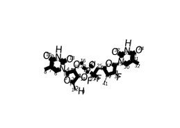 [2H]C[C@H]1O[C@@H](n2cc(C)c(=O)[nH]c2=O)[C@H](OC)[C@@H]1OP(C)(=O)C(F)(F)C[C@H]1O[C@@H](n2cc(C)c(=O)[nH]c2=O)[C@H](F)[C@@H]1C